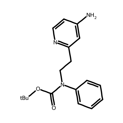 CC(C)(C)OC(=O)N(CCc1cc(N)ccn1)c1ccccc1